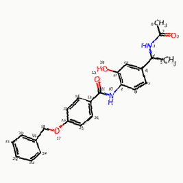 CC(=O)NC(C)c1ccc(NC(=O)c2ccc(OCc3ccccc3)cc2)c(O)c1